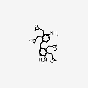 Nc1ccc(Cc2ccc(N)c(CC3CO3)c2CC2CO2)c(CC2CO2)c1CC1CO1